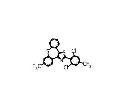 FC(F)(F)c1cc(Cl)c(-c2nc3c(s2)-c2ccccc2Sc2cc(C(F)(F)F)ccc2-3)c(Cl)c1